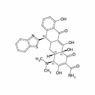 CN(C)[C@@H]1C(O)=C(C(N)=O)C(=O)[C@@]2(O)C(O)=C3C(=O)c4c(O)cccc4[C@H](c4nc5ccccc5s4)C3C[C@@H]12